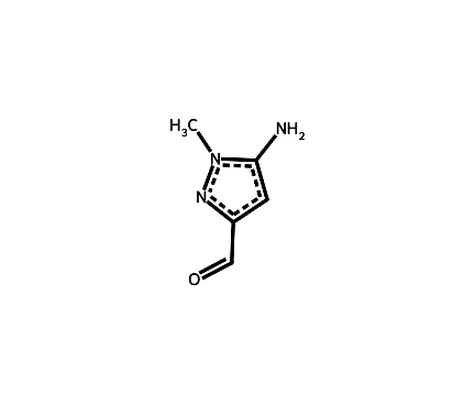 Cn1nc(C=O)cc1N